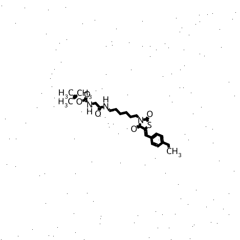 CCc1ccc(/C=C2\SC(=O)N(CCCCCCNC(=O)CNC(=O)OC(C)(C)C)C2=O)cc1